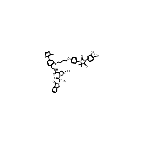 Cc1ncsc1-c1ccc(CNC(=O)C2C[C@@H](O)CN2C(=O)[C@H](C(C)C)N2Cc3ccccc3C2=O)c(OCCCCOc2ccc(N3C(=S)N(c4ccc(C#N)c(C(F)(F)F)c4)C(=O)C3(C)C)cc2)c1